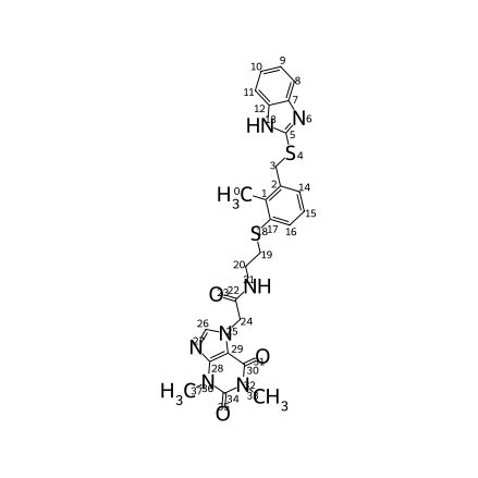 Cc1c(CSc2nc3ccccc3[nH]2)cccc1SCCNC(=O)Cn1cnc2c1c(=O)n(C)c(=O)n2C